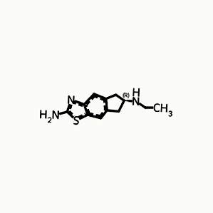 CCN[C@@H]1Cc2cc3nc(N)sc3cc2C1